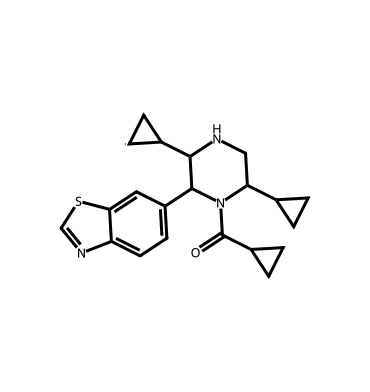 O=C(C1CC1)N1C(C2CC2)CNC(C2[CH]C2)C1c1ccc2ncsc2c1